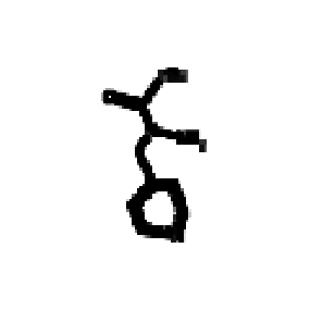 CCCCC(=O)N(N)Cc1ccncc1